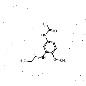 CCCNc1cc(NC(C)=O)ccc1OC